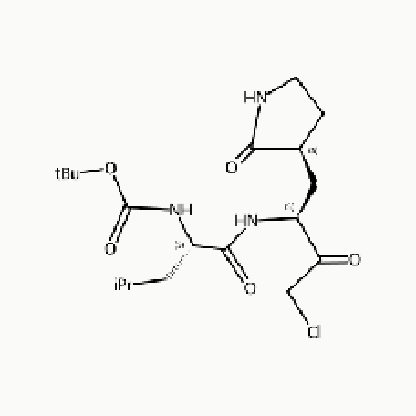 CC(C)C[C@H](NC(=O)OC(C)(C)C)C(=O)N[C@@H](C[C@@H]1CCNC1=O)C(=O)CCl